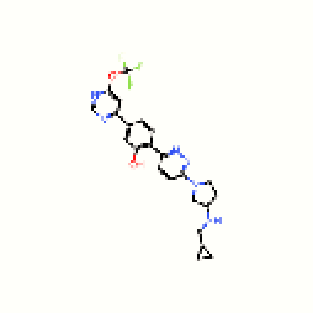 Oc1cc(-c2cc(OC(F)(F)F)ncn2)ccc1-c1ccc(N2CCC(NCC3CC3)C2)nn1